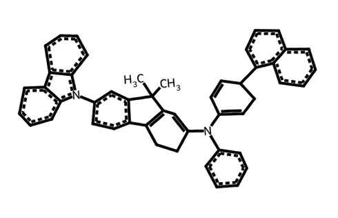 CC1(C)C2=C(CCC(N(C3=CCC(c4cccc5ccccc45)C=C3)c3ccccc3)=C2)c2ccc(-n3c4ccccc4c4ccccc43)cc21